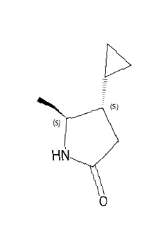 C[C@@H]1NC(=O)C[C@H]1C1CC1